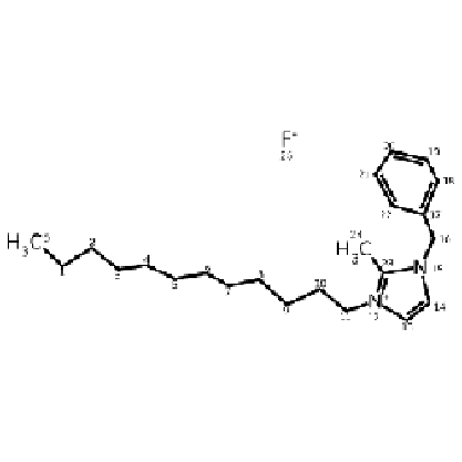 CCCCCCCCCCCC[n+]1ccn(Cc2ccccc2)c1C.[F-]